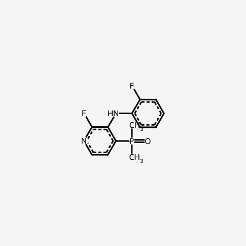 CP(C)(=O)c1ccnc(F)c1Nc1ccccc1F